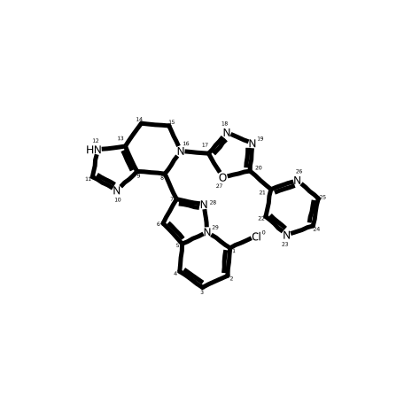 Clc1cccc2cc(C3c4nc[nH]c4CCN3c3nnc(-c4cnccn4)o3)nn12